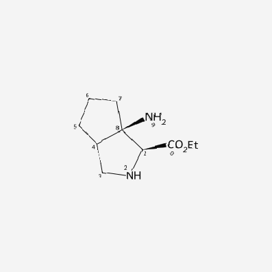 CCOC(=O)[C@H]1NCC2CCC[C@@]21N